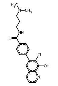 CN(C)CCCNC(=O)c1ccc(-c2cc3cccnc3c(O)c2Cl)cc1